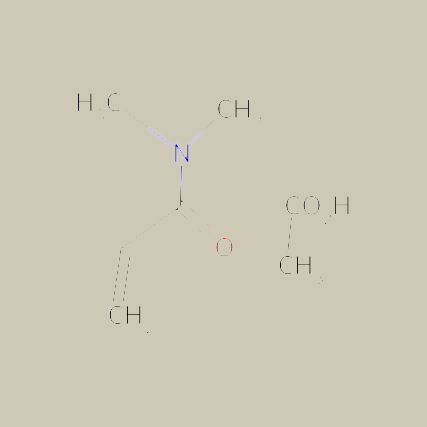 C=CC(=O)N(C)C.CC(=O)O